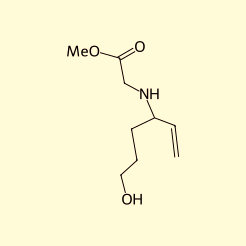 C=CC(CCCO)NCC(=O)OC